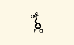 O=[N+]([O-])CCc1ccc(Cl)c(F)c1